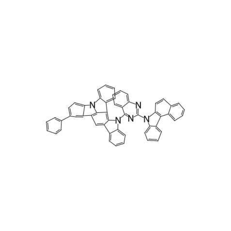 c1ccc(-c2ccc3c(c2)c2cc4c5ccccc5n(-c5nc(-n6c7ccccc7c7c8ccccc8ccc76)nc6ccccc56)c4c4c5ccccc5n3c24)cc1